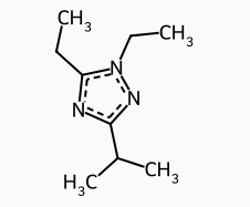 CCc1nc(C(C)C)nn1CC